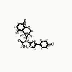 NC(=O)N(c1nc(-c2ccc(Cl)cc2)cs1)[C@@H]1[C@H]2COc3c(F)ccc(F)c3[C@@H]21